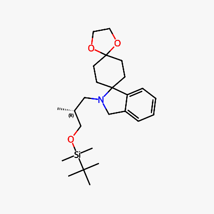 C[C@@H](CO[Si](C)(C)C(C)(C)C)CN1Cc2ccccc2C12CCC1(CC2)OCCO1